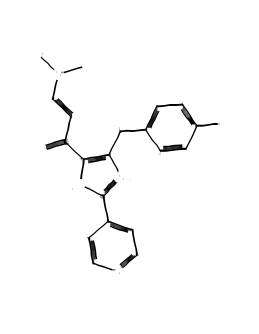 CN(C)/C=C/C(=O)c1sc(-c2ccncc2)nc1Cc1ccc(Cl)cc1